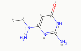 CCN(N)c1cc(=O)[nH]c(N)n1